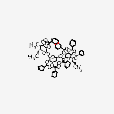 C=CCOC1O[C@H](CO[C@@H]2O[C@H](CO[C@@H]3O[C@H](CC)[C@@H](C)[C@H](C)[C@H]3OC(=O)c3ccccc3)[C@@H](OC(=O)c3ccccc3)[C@H](OC(=O)c3ccccc3)[C@H]2OC(=O)c2ccccc2)[C@@H](OC(=O)c2ccccc2)[C@H](OC(=O)c2ccccc2)[C@H]1OC(=O)c1ccccc1